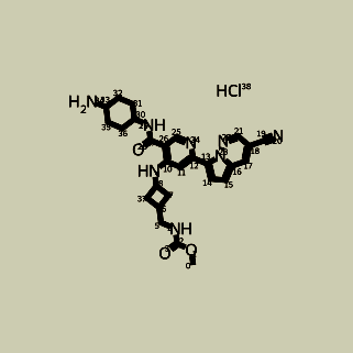 COC(=O)NCC1CC(Nc2cc(-c3ccc4cc(C#N)cnn34)ncc2C(=O)NC2CCC(N)CC2)C1.Cl